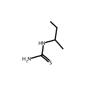 CCC(C)NC(N)=S